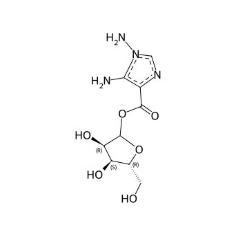 Nc1c(C(=O)OC2O[C@H](CO)[C@@H](O)[C@H]2O)ncn1N